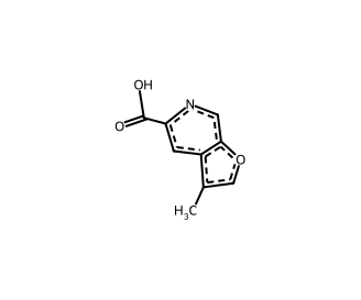 Cc1coc2cnc(C(=O)O)cc12